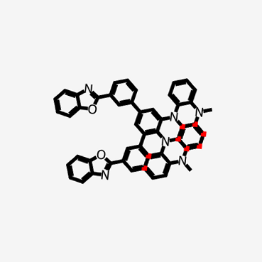 CN1c2ccccc2N(c2cc(-c3cccc(-c4nc5ccccc5o4)c3)cc(-c3cccc(-c4nc5ccccc5o4)c3)c2N2c3ccccc3N(C)c3ccccc32)c2ccccc21